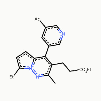 CCOC(=O)CCc1c(C)nn2c(CC)ccc2c1-c1cncc(C(C)=O)c1